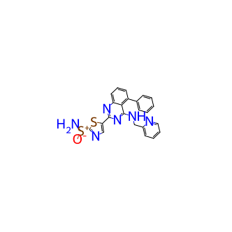 N[S+]([O-])c1ncc(-c2nc(NCc3ccccn3)c3c(-c4ccccc4)cccc3n2)s1